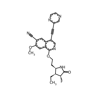 CC[C@@H]1[C@H](F)C(=O)N[C@@H]1CCOc1ncc(C#Cc2cnccn2)c2cc(C#N)c(OC)cc12